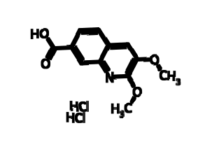 COc1cc2ccc(C(=O)O)cc2nc1OC.Cl.Cl